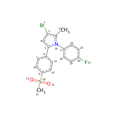 Cc1c(Br)cc(-c2ccc(S(C)(=O)=O)cc2)n1-c1ccc(F)cc1